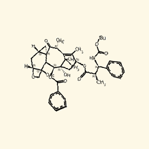 CC(=O)O[C@H]1C(=O)[C@]23C[C@H]2C[C@H]2OC[C@@]2(OC(C)=O)C3[C@H](OC(=O)c2ccccc2)[C@]2(O)C[C@H](OC(=O)[C@H](C)[C@@H](NC(=O)OC(C)(C)C)c3ccccc3)C(C)=C1C2(C)C